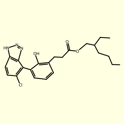 CCCCC(CC)COC(=O)CCc1cccc(-c2c(Cl)ccc3[nH]nnc23)c1O